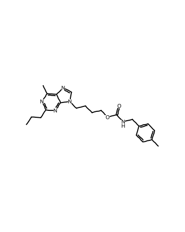 CCCc1nc(C)c2ncn(CCCCOC(=O)NCc3ccc(C)cc3)c2n1